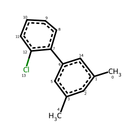 Cc1[c]c(C)cc(-c2ccccc2Cl)c1